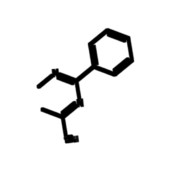 C/N=C(\N=C(/C)C(C)(C)C)c1ccccc1